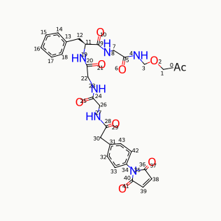 CC(=O)COCNC(=O)CNC(=O)[C@H](Cc1ccccc1)NC(=O)CNC(=O)CNC(=O)Cc1ccc(N2C(=O)C=CC2=O)cc1